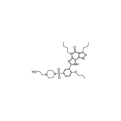 CCCCn1c(=O)n2c(CCC)nnc2c2[nH]c(-c3cc(S(=O)(=O)N4CCN(CCO)CC4)ccc3OCCC)nc21